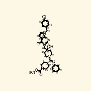 CC(C)(C)OC(=O)N1CC[C@@H](C(=O)N2CCC(O)(Cn3cnc4c(ccn4Cc4ccc(Cl)cc4)c3=O)CC2)[C@H](c2ccccc2)C1